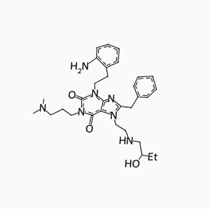 CCC(O)CNCCn1c(Cc2ccccc2)nc2c1c(=O)n(CCCN(C)C)c(=O)n2CCc1ccccc1N